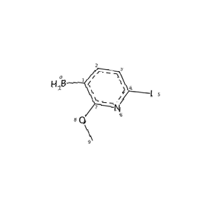 Bc1ccc(I)nc1OC